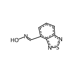 ON=Cc1cccc2nsnc12